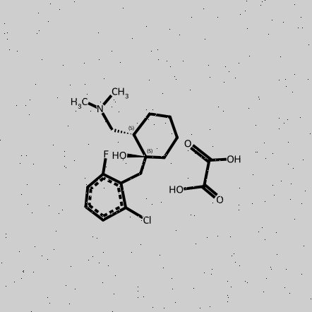 CN(C)C[C@@H]1CCCC[C@]1(O)Cc1c(F)cccc1Cl.O=C(O)C(=O)O